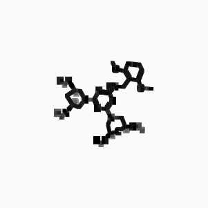 COc1cccc(OC)c1CNc1nc(N2C[C@H](N)C[C@H](N)C2)nc(N2C[C@H](N)C[C@H](N)C2)n1